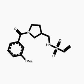 C=CS(=O)(=O)NCC1CCN(C(=O)c2cccc(OC)c2)C1